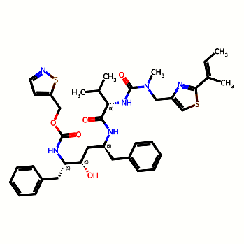 CC=C(C)c1nc(CN(C)C(=O)N[C@H](C(=O)N[C@@H](Cc2ccccc2)C[C@H](O)[C@H](Cc2ccccc2)NC(=O)OCc2ccns2)C(C)C)cs1